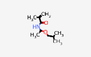 C=C(C)C(=O)NC(C)OCC(C)C